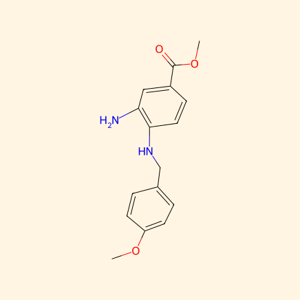 COC(=O)c1ccc(NCc2ccc(OC)cc2)c(N)c1